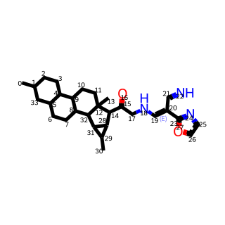 CC1CCC2C(CCC3C2CCC2(C)C(C(=O)CN/C=C(\C=N)c4ncco4)C4C(C)C4C32)C1